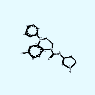 O=C(NC1CCNC1)N1CCN(c2ccccc2)c2cc(F)ccc21